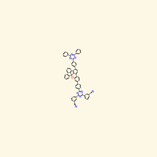 N#Cc1cccc(-c2nc(-c3ccc(-c4ccc5c(c4)OC(c4ccccc4)(c4ccccc4)c4cc(-c6ccc(-c7nc(-c8ccccc8)nc(-c8ccccc8)n7)cc6)ccc4-5)cc3)nc(-c3cccc(C#N)c3)n2)c1